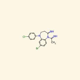 CC(=N)N1C(=N)CCN(c2ccc(Cl)cc2)c2cc(Br)ccc21